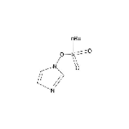 CCCCS(=O)(=O)On1ccnc1